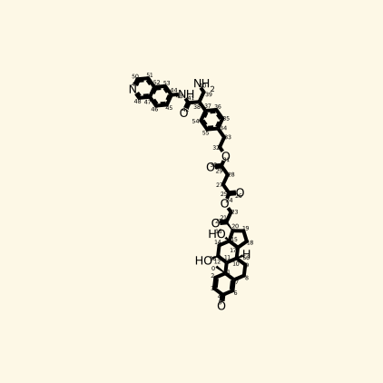 C[C@]12C=CC(=O)C=C1CC[C@@H]1C2[C@@H](O)C[C@@]2(O)C1CC[C@@H]2C(=O)COC(=O)CCC(=O)OCCc1ccc(C(CN)C(=O)Nc2ccc3cnccc3c2)cc1